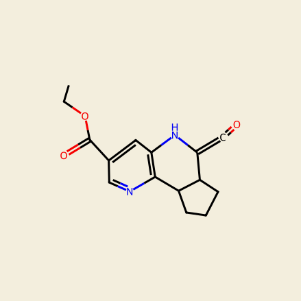 CCOC(=O)c1cnc2c(c1)NC(=C=O)C1CCCC21